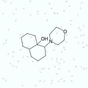 OC12CCCCC1CCCC2N1CCOCC1